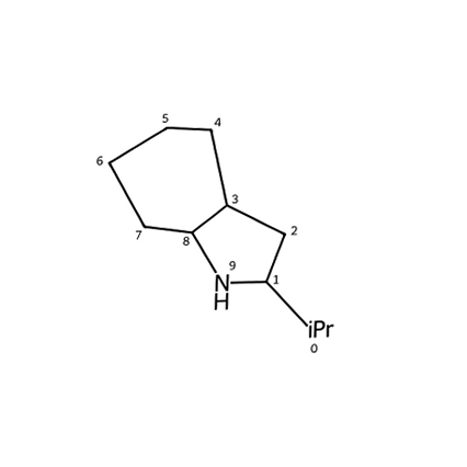 CC(C)C1CC2CCCCC2N1